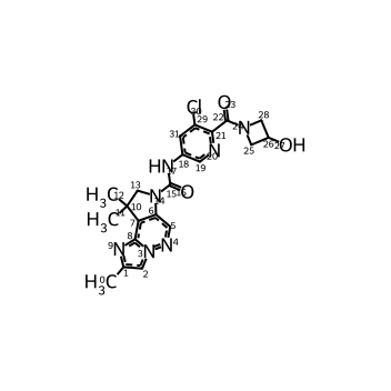 Cc1cn2ncc3c(c2n1)C(C)(C)CN3C(=O)Nc1cnc(C(=O)N2CC(O)C2)c(Cl)c1